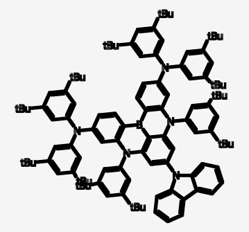 CC(C)(C)c1cc(N(c2cc(C(C)(C)C)cc(C(C)(C)C)c2)c2ccc3c(c2)N(c2cc(C(C)(C)C)cc(C(C)(C)C)c2)c2cc(-n4c5ccccc5c5ccccc54)cc4c2B3c2ccc(N(c3cc(C(C)(C)C)cc(C(C)(C)C)c3)c3cc(C(C)(C)C)cc(C(C)(C)C)c3)cc2N4c2cc(C(C)(C)C)cc(C(C)(C)C)c2)cc(C(C)(C)C)c1